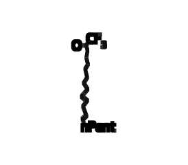 CCCCC/C=C/C/C=C/CCCCCCCC(=O)C(F)(F)F